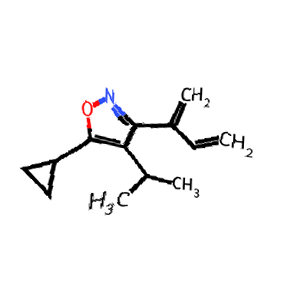 C=CC(=C)c1noc(C2CC2)c1C(C)C